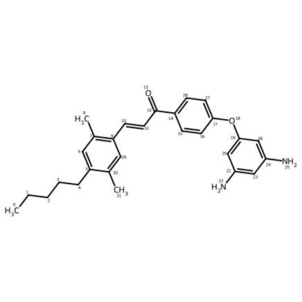 CCCCCc1cc(C)c(C=CC(=O)c2ccc(Oc3cc(N)cc(N)c3)cc2)cc1C